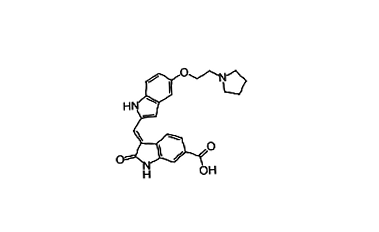 O=C1Nc2cc(C(=O)O)ccc2/C1=C\c1cc2cc(OCCN3CCCC3)ccc2[nH]1